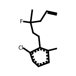 C=CCC(C)(F)CCc1c(C)cccc1Cl